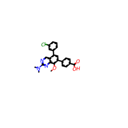 COc1c(-c2ccc(C(=O)O)cc2)cc(-c2cccc(Cl)c2)c2cnc(N(C)C)nc12